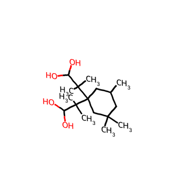 CC1CC(C)(C)CC(C(C)(C)C(O)O)(C(C)(C)C(O)O)C1